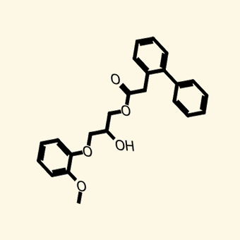 COc1ccccc1OCC(O)COC(=O)Cc1ccccc1-c1ccccc1